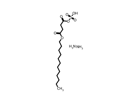 CCCCCCCCCCCCOC(=O)CCC(=O)OS(=O)(=O)O.N.N